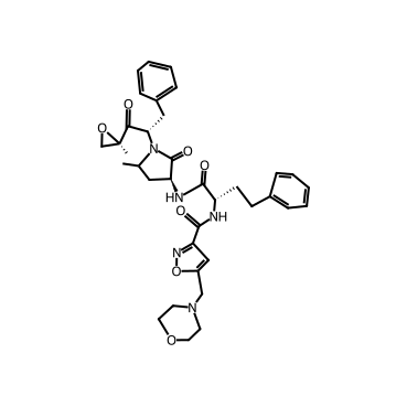 CC1C[C@H](NC(=O)[C@H](CCc2ccccc2)NC(=O)c2cc(CN3CCOCC3)on2)C(=O)N1[C@@H](Cc1ccccc1)C(=O)[C@@]1(C)CO1